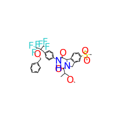 COCC(C)C(=O)N1Cc2cc(S(C)(=O)=O)ccc2C1C(=O)Nc1ccc(C(OCc2ccccc2)(C(F)(F)F)C(F)(F)F)cc1